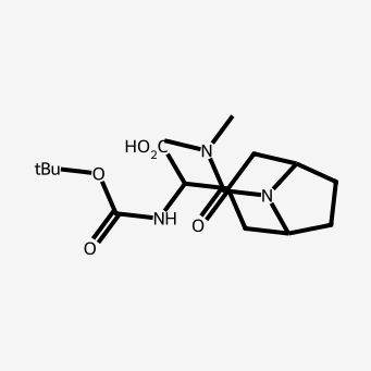 CN(C)C(=O)N1C2CCC1CC(C(NC(=O)OC(C)(C)C)C(=O)O)C2